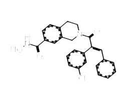 O=C(NO)c1ccc2c(c1)CN(C(=O)C(=Cc1ccccc1)c1cccc(Cl)c1)CC2